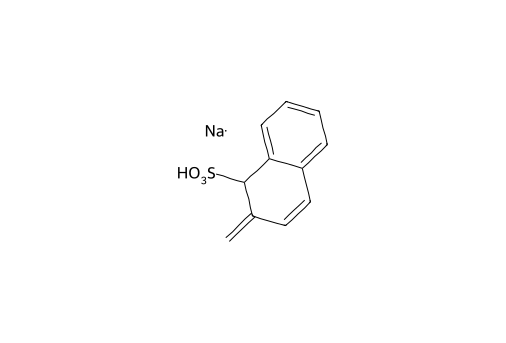 C=C1C=Cc2ccccc2C1S(=O)(=O)O.[Na]